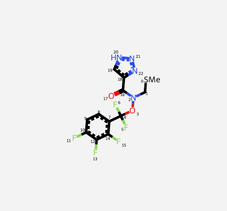 CSCN(OC(F)(F)c1ccc(F)c(F)c1F)C(=O)c1c[nH]nn1